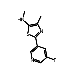 CNc1sc(-c2cncc(F)c2)nc1C